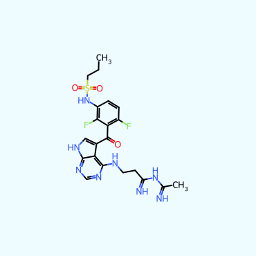 CCCS(=O)(=O)Nc1ccc(F)c(C(=O)c2c[nH]c3ncnc(NCCC(=N)NC(C)=N)c23)c1F